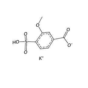 COc1cc(C(=O)[O-])ccc1S(=O)(=O)O.[K+]